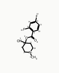 CN1CCC(N=O)(OC(=O)c2ccc(F)cc2F)CC1